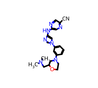 CN(C)CC1CN(c2cccc(-n3cnc(Nc4cnc(C#N)cn4)c3)c2)CCO1